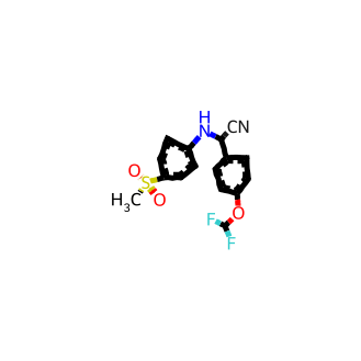 CS(=O)(=O)c1ccc(NC(C#N)c2ccc(OC(F)F)cc2)cc1